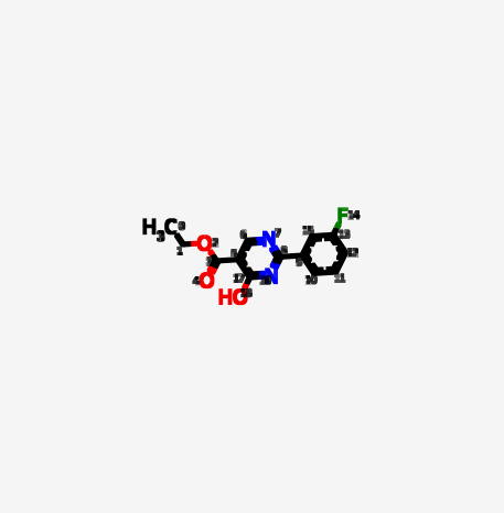 CCOC(=O)c1cnc(-c2cccc(F)c2)nc1O